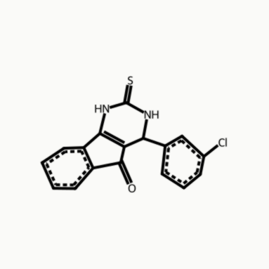 O=C1C2=C(NC(=S)NC2c2cccc(Cl)c2)c2ccccc21